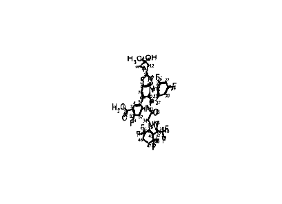 CC(=O)c1cc(-c2cc3sc(N4CC(C)(O)C4)nc3nc2[C@H](Cc2cc(F)cc(F)c2)NC(=O)Cn2nc(C(F)F)c3c2C(F)(F)CCC3(F)F)ccc1F